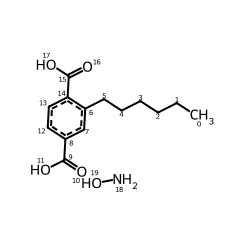 CCCCCCc1cc(C(=O)O)ccc1C(=O)O.NO